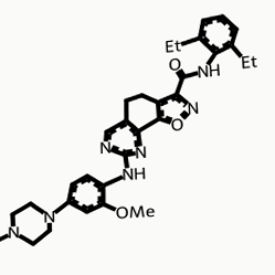 CCc1cccc(CC)c1NC(=O)c1noc2c1CCc1cnc(Nc3ccc(N4CCN(C)CC4)cc3OC)nc1-2